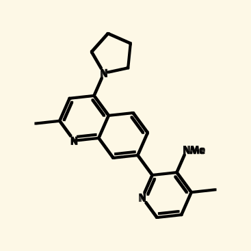 CNc1c(C)ccnc1-c1ccc2c(N3CCCC3)cc(C)nc2c1